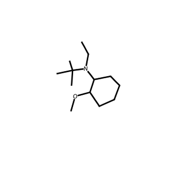 CCN(C1CCCCC1OC)C(C)(C)C